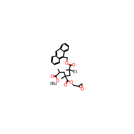 CCC(C)(CC(C)(CC(C)C(=O)OC(C)(C)C)C(=O)OCC1CO1)C(=O)OCc1c2ccccc2cc2ccccc12